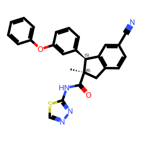 C[C@@]1(C(=O)Nc2nncs2)Cc2ccc(C#N)cc2[C@@H]1c1cccc(Oc2ccccc2)c1